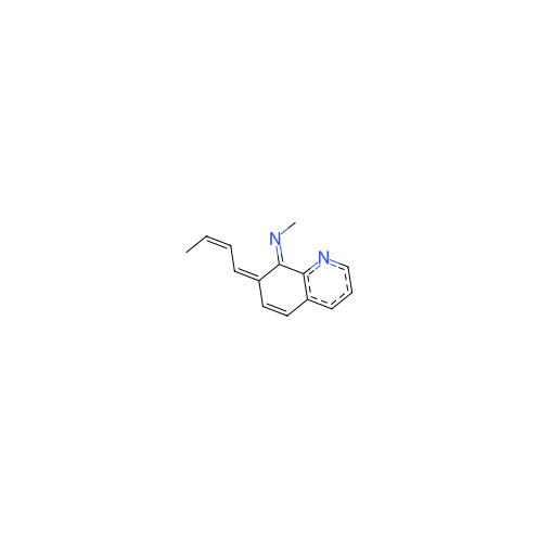 C\C=C/C=C1/C=Cc2cccnc2/C1=N\C